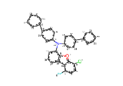 Fc1ccc(Cl)c2oc3c(N(c4ccc(-c5ccccc5)cc4)c4ccc(-c5ccccc5)cc4)cccc3c12